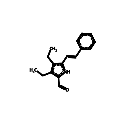 CCc1c(C=O)[nH]c(/C=C/c2ccccc2)c1CC